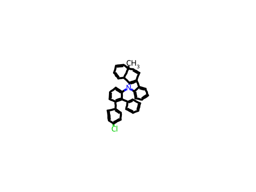 CC12C=CC=CC1c1c(c3ccccc3n1-c1cccc(-c3ccc(Cl)cc3)c1-c1ccccc1)C=C2